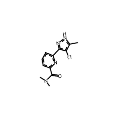 Cc1[nH]nc(-c2cccc(C(=O)N(C)C)n2)c1Cl